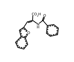 O=C(O)C(=Cc1cc2ccccc2o1)NC(=O)c1ccccc1